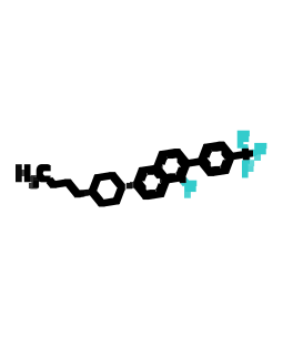 CCCC[C@H]1CC[C@H](c2ccc3c(F)c(-c4ccc(C(F)(F)F)cc4)ccc3c2)CC1